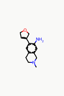 CN1CCc2cc(C3=CCOC3)c(N)cc2C1